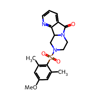 COc1cc(C)c(S(=O)(=O)N2CCN3C(=O)c4cccnc4C3C2)c(C)c1